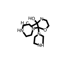 CCC1(O)[N]CCOC1(N1CCNCC1)N1CCNCC1